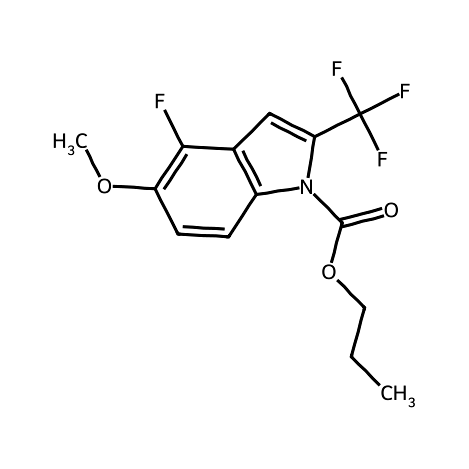 CCCOC(=O)n1c(C(F)(F)F)cc2c(F)c(OC)ccc21